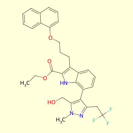 CCOC(=O)c1[nH]c2c(-c3c(CC(F)(F)F)nn(C)c3CO)cccc2c1CCCOc1cccc2ccccc12